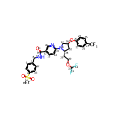 CCS(=O)(=O)c1ccc(CNC(=O)c2ccc(N3CC(Oc4ccc(C(F)(F)F)cc4)C[C@H]3CCOC(F)F)nc2)cc1